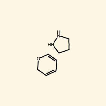 C1=CCOC=C1.C1CNNC1